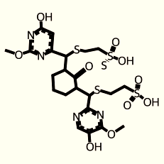 COc1nc(O)cc(C(SCCS(=O)(O)=S)C2CCCC(C(SCCS(=O)(=O)O)c3ncc(O)c(OC)n3)C2=O)n1